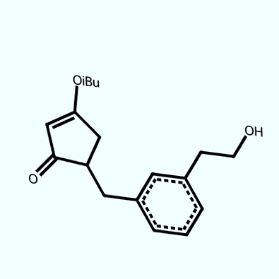 CC(C)COC1=CC(=O)C(Cc2cccc(CCO)c2)C1